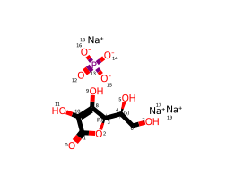 O=C1O[C@H]([C@@H](O)CO)C(O)=C1O.O=P([O-])([O-])[O-].[Na+].[Na+].[Na+]